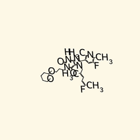 C/C(F)=C\C=C(/C)Cn1c(-c2cc(F)c(C)nc2C)nc2[nH]c(=O)n(CCCOC3CCCCO3)c(=O)c21